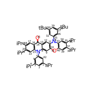 CC(C)c1cc(C(C)C)cc(-n2c3cc4c(cc3c(=O)c3cc(C(C)C)c(C(C)C)cc32)N(c2cc(C(C)(C)C)cc(C(C)(C)C)c2)c2cc(C(C)C)c(C(C)C)cc2O4)c1